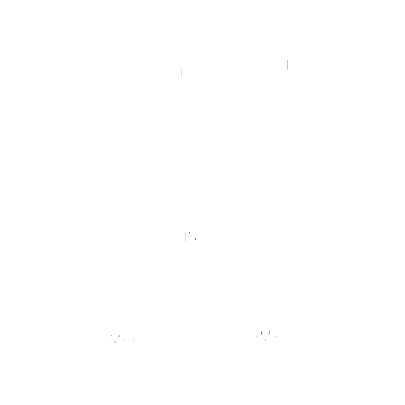 COc1cc(NC(=O)C2=Cc3sc(C)c(C)c3CS2)cc(OC)c1